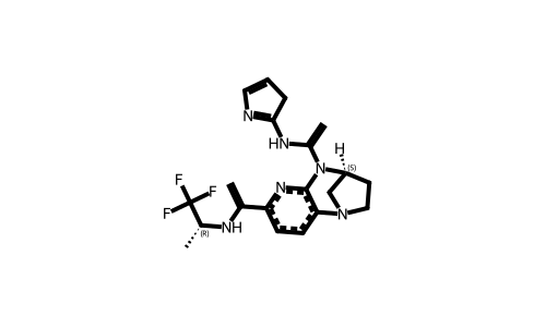 C=C(N[C@H](C)C(F)(F)F)c1ccc2c(n1)N(C(=C)NC1=NC=CC1)[C@H]1CCN2C1